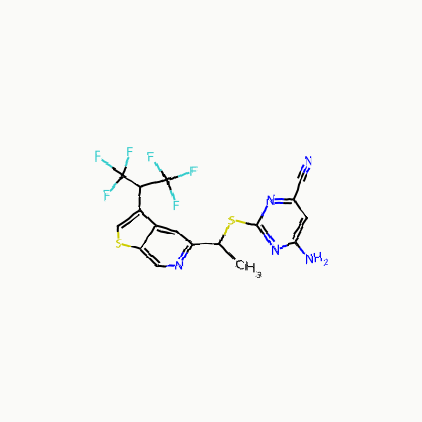 CC(Sc1nc(N)cc(C#N)n1)c1cc2c(C(C(F)(F)F)C(F)(F)F)csc2cn1